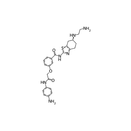 NCCN[C@H]1CCc2nc(NC(=O)c3cccc(OCC(=O)Nc4ccc(N)cc4)c3)sc2C1